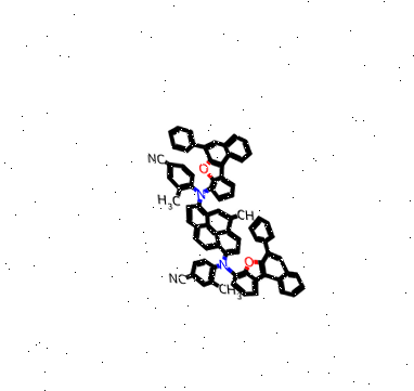 Cc1cc(C#N)ccc1N(c1ccc2ccc3c(N(c4ccc(C#N)cc4C)c4cccc5c4oc4c(-c6ccccc6)cc6ccccc6c45)ccc4c(C)cc1c2c43)c1cccc2c1oc1c(-c3ccccc3)cc3ccccc3c12